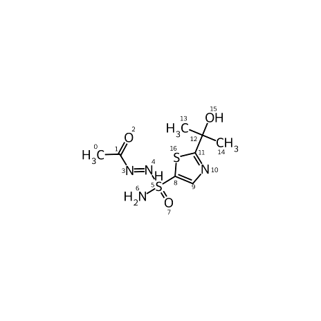 CC(=O)/N=N/[SH](N)(=O)c1cnc(C(C)(C)O)s1